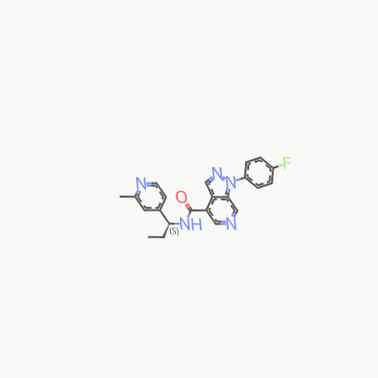 CC[C@H](NC(=O)c1cncc2c1cnn2-c1ccc(F)cc1)c1ccnc(C)c1